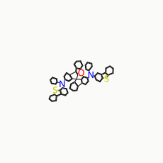 c1ccc(N(c2ccc3c(c2)C2(c4ccccc4-3)c3cc(N(c4ccccc4)c4cccc5c4sc4ccccc45)ccc3-c3c2oc2ccccc32)c2ccc3sc4ccccc4c3c2)cc1